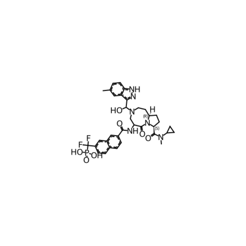 Cc1ccc2[nH]nc(C(O)N3CC[C@H]4CC[C@@H](C(=O)N(C)C5CC5)N4C(=O)C(NC(=O)c4ccc5ccc(C(F)(F)P(=O)(O)O)cc5c4)C3)c2c1